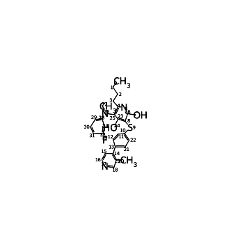 CCCCc1nc(O)c(Sc2ccc(-c3ccncc3C)cc2)c(O)c1N(C)c1cccc(F)c1